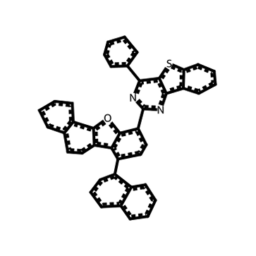 c1ccc(-c2nc(-c3ccc(-c4cccc5ccccc45)c4c3oc3c5ccccc5ccc34)nc3c2sc2ccccc23)cc1